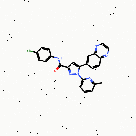 Cc1cccc(-n2nc(C(=O)Nc3ccc(Cl)cc3)cc2-c2ccc3nccnc3c2)n1